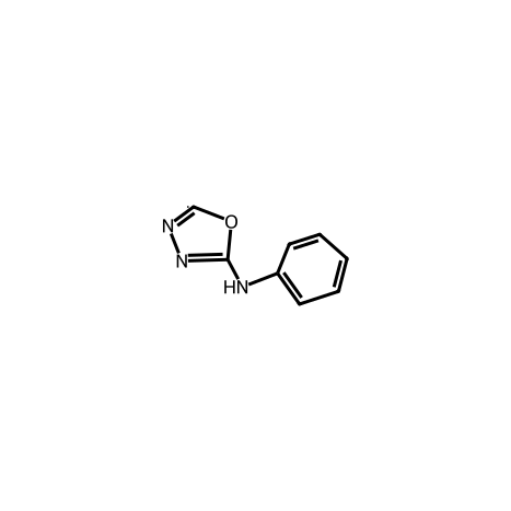 [c]1nnc(Nc2ccccc2)o1